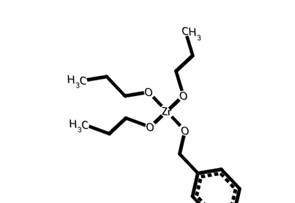 CCC[O][Zr]([O]CCC)([O]CCC)[O]Cc1ccccc1